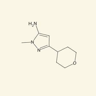 Cn1nc(C2CCOCC2)cc1N